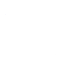 COc1ccc(SCCN)cc1.Cl